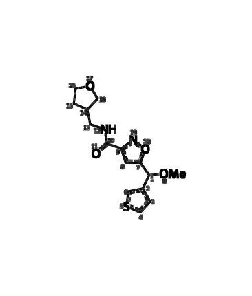 COC(c1ccsc1)c1cc(C(=O)NCC2CCOC2)no1